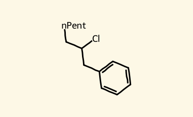 CCCCCCC(Cl)Cc1ccccc1